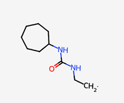 [CH2]CNC(=O)NC1CCCCCC1